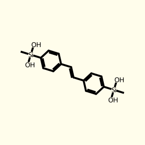 C[Si](O)(O)c1ccc(C=Cc2ccc([Si](C)(O)O)cc2)cc1